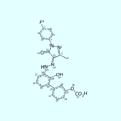 CC1=NN(c2ccc(F)cc2)C(=O)C1=NNc1cccc(-c2cccc(OC(=O)O)c2)c1O